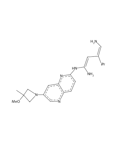 COC1(C)CN(c2cnc3ccc(N/C(N)=C/C(=C\N)C(C)C)nc3c2)C1